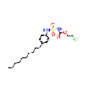 CCCCCCCCCCc1ccc(NS(=O)(=O)NC(=O)OCCCl)cc1